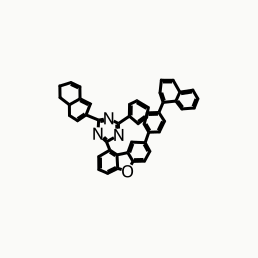 C1=CC2=CC(c3nc(-c4ccccc4)nc(-c4cccc5oc6ccc(-c7ccc(-c8cccc9ccccc89)cc7)cc6c45)n3)=CCC2CC1